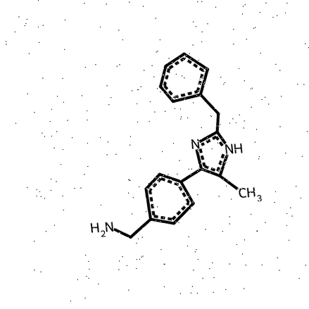 Cc1[nH]c(Cc2ccccc2)nc1-c1ccc(CN)cc1